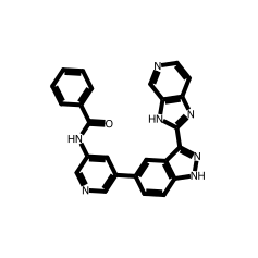 O=C(Nc1cncc(-c2ccc3[nH]nc(-c4nc5ccncc5[nH]4)c3c2)c1)c1ccccc1